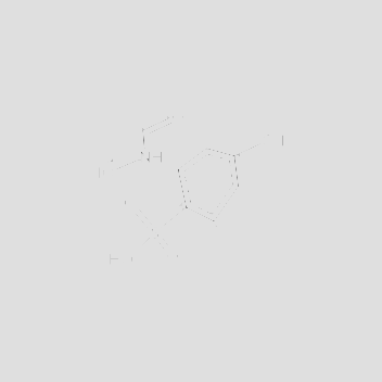 Cc1ccc(S(=O)(=O)O)cc1.O=CNO